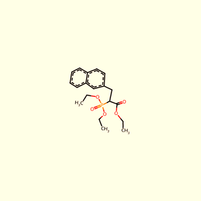 CCOC(=O)C(Cc1ccc2ccccc2c1)P(=O)(OCC)OCC